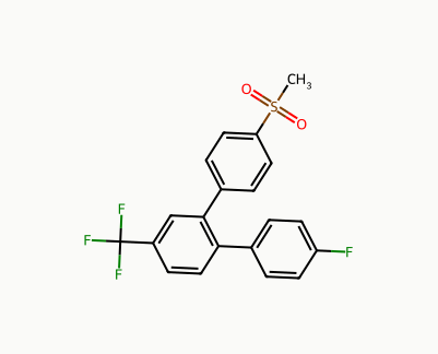 CS(=O)(=O)c1ccc(-c2cc(C(F)(F)F)ccc2-c2ccc(F)cc2)cc1